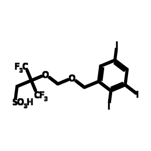 O=S(=O)(O)CC(OCOCc1cc(I)cc(I)c1I)(C(F)(F)F)C(F)(F)F